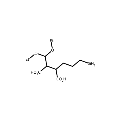 CCOC(OCC)C(C(=O)O)C(CCC[SiH3])C(=O)O